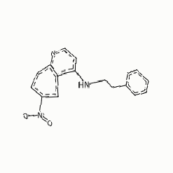 O=[N+]([O-])c1ccc2nccc(NCCc3ccccc3)c2c1